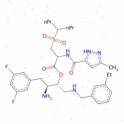 CCCC(CCC)S(=O)(=O)CC(NC(=O)c1cc(C)n[nH]1)C(=O)O[C@H](CNCc1cccc(CC)c1)[C@@H](N)Cc1cc(F)cc(F)c1